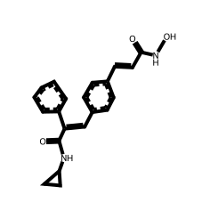 O=C(/C=C/c1ccc(/C=C(/C(=O)NC2CC2)c2ccccc2)cc1)NO